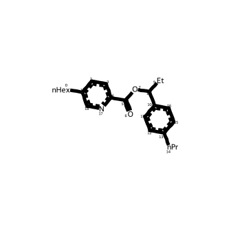 CCCCCCc1ccc(C(=O)OC(CC)c2ccc(CCC)cc2)nc1